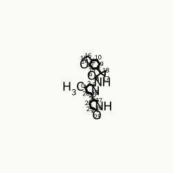 Cc1cc(NC(=O)C2(c3ccc4c(c3)OCC4)CC2)nc(-c2ccc(=O)[nH]c2)c1